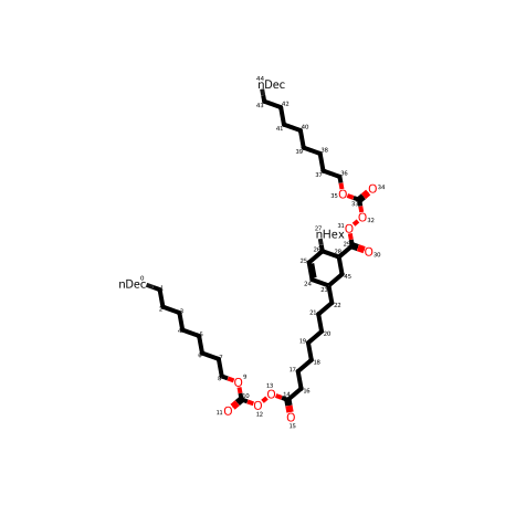 CCCCCCCCCCCCCCCCCCOC(=O)OOC(=O)CCCCCCCC1C=CC(CCCCCC)C(C(=O)OOC(=O)OCCCCCCCCCCCCCCCCCC)C1